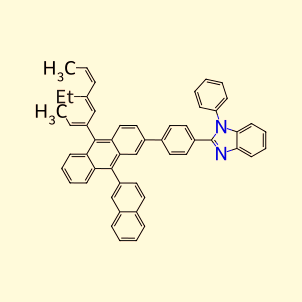 C\C=C/C(=C/C(=C\C)c1c2ccccc2c(-c2ccc3ccccc3c2)c2cc(-c3ccc(-c4nc5ccccc5n4-c4ccccc4)cc3)ccc12)CC